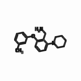 Cc1cccc(Oc2cccc(N3CCCCC3)c2CN)c1